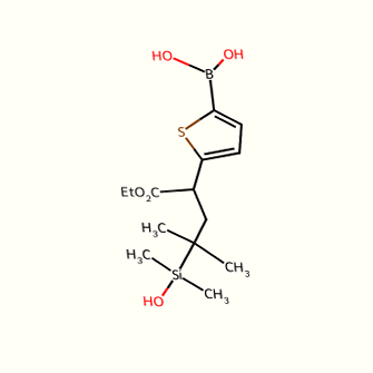 CCOC(=O)C(CC(C)(C)[Si](C)(C)O)c1ccc(B(O)O)s1